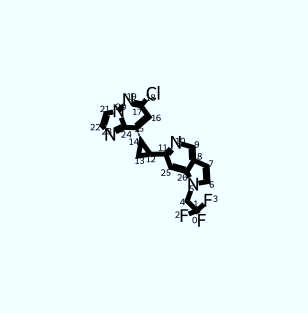 FC(F)(F)Cn1ccc2cnc(C3C[C@@H]3c3cc(Cl)nn4ccnc34)cc21